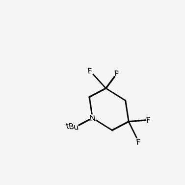 CC(C)(C)N1CC(F)(F)CC(F)(F)C1